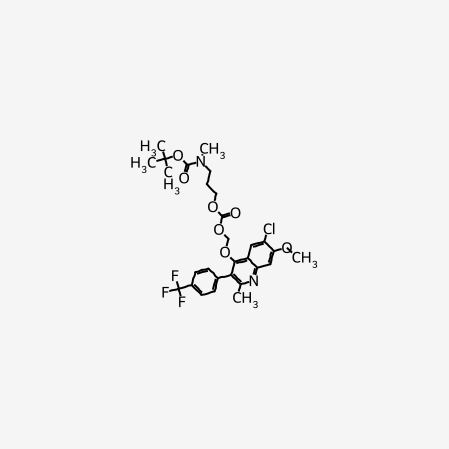 COc1cc2nc(C)c(-c3ccc(C(F)(F)F)cc3)c(OCOC(=O)OCCCN(C)C(=O)OC(C)(C)C)c2cc1Cl